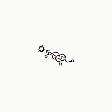 O=C(Cc1cscn1)N1CC[C@]23CCN(CC4CC4)[C@H](Cc4ccc(O)cc42)[C@]3(O)CC1